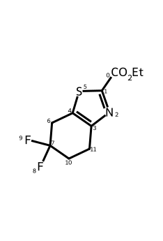 CCOC(=O)c1nc2c(s1)CC(F)(F)CC2